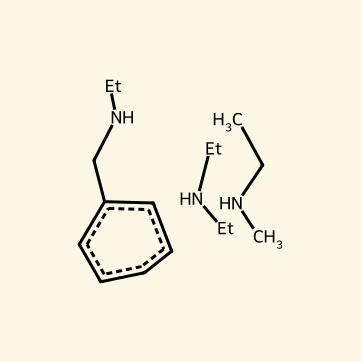 CCNC.CCNCC.CCNCc1ccccc1